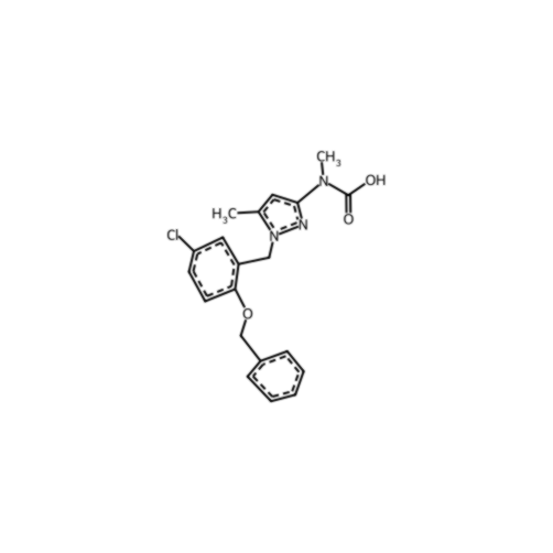 Cc1cc(N(C)C(=O)O)nn1Cc1cc(Cl)ccc1OCc1ccccc1